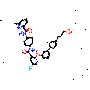 Cc1cccc(C(=O)NC2CCC(NC(=O)c3cc(F)cnc3Oc3cccc(-c4ccc(CCCO)cc4)c3)CC2)n1